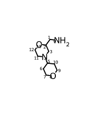 NCC1CN(C2CCOCC2)CCO1